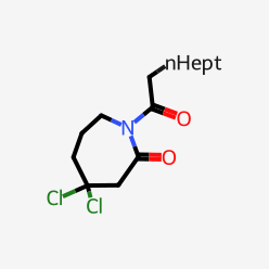 CCCCCCCCC(=O)N1CCCC(Cl)(Cl)CC1=O